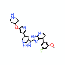 COc1cc(F)cc(-c2ccnc3[nH]c(-c4n[nH]c5ncc(-c6cncc(OC7CCNCC7)c6)cc45)nc23)c1